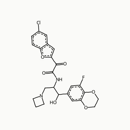 O=C(NC(CN1CCC1)C(O)c1cc(F)c2c(c1)OCCO2)C(=O)c1cc2cc(Cl)ccc2o1